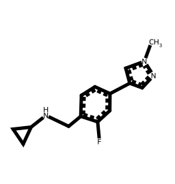 Cn1cc(-c2ccc(CNC3CC3)c(F)c2)cn1